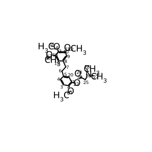 COc1ccc(CCc2cc(OC)c(OC)c(OC)c2)cc1OC(=O)CN(C)C